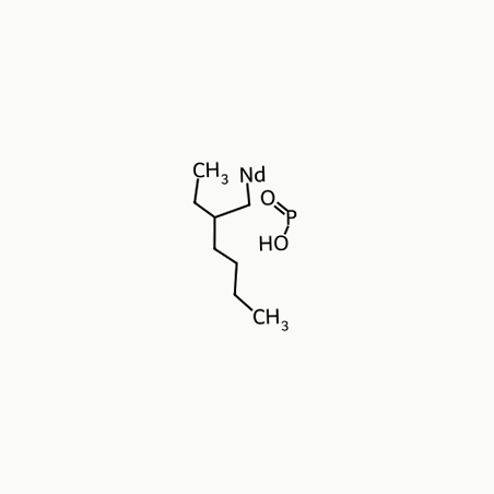 CCCCC(CC)[CH2][Nd].O=PO